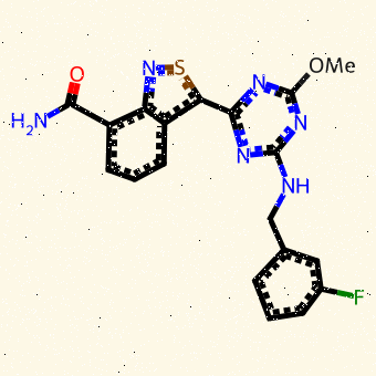 COc1nc(NCc2cccc(F)c2)nc(-c2snc3c(C(N)=O)cccc23)n1